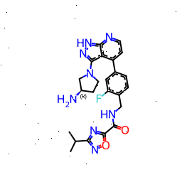 CC(C)c1noc(C(=O)NCc2ccc(-c3ccnc4[nH]nc(N5CC[C@@H](N)C5)c34)cc2F)n1